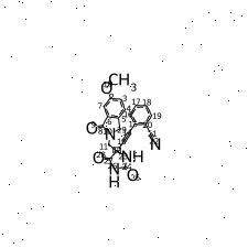 COc1ccc2c(c1)C(=O)N(C[C@@]1(C#Cc3ccccc3C#N)NC(=O)NC1=O)C2